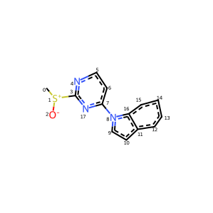 C[S+]([O-])c1nccc(-n2ccc3ccccc32)n1